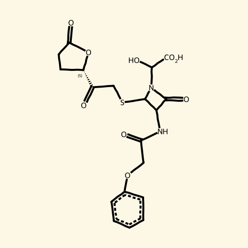 O=C(COc1ccccc1)NC1C(=O)N(C(O)C(=O)O)C1SCC(=O)[C@@H]1CCC(=O)O1